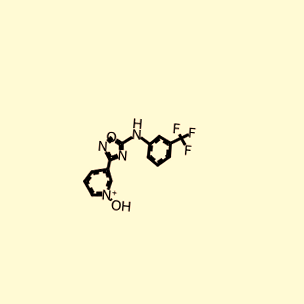 O[n+]1cccc(-c2noc(Nc3cccc(C(F)(F)F)c3)n2)c1